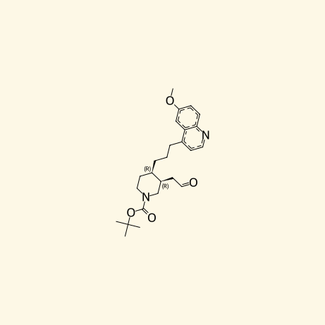 COc1ccc2nccc(CCC[C@@H]3CCN(C(=O)OC(C)(C)C)C[C@@H]3CC=O)c2c1